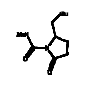 CNC(=O)N1C(=O)CCC1CC(C)(C)C